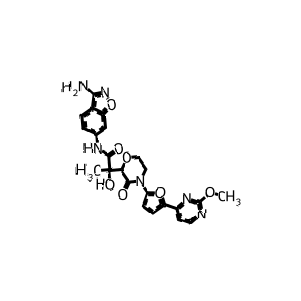 COc1nccc(-c2ccc(N3CCOC(C(C)(O)C(=O)Nc4ccc5c(N)noc5c4)C3=O)o2)n1